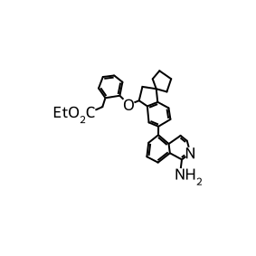 CCOC(=O)Cc1ccccc1OC1CC2(CCCC2)c2ccc(-c3cccc4c(N)nccc34)cc21